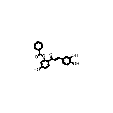 O=C(Oc1cc(O)ccc1C(=O)/C=C/c1ccc(O)c(O)c1)c1ccccc1